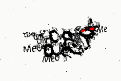 COc1ccc(CN(Cc2ccc(OC)cc2)S(=O)(=O)c2c(S(=O)(=O)CC[Si](C)(C)C)ccc(N3CC[C@H](NC(=O)OC(C)(C)C)[C@H](F)C3)c2-c2nnn(Cc3ccc(OC)cc3)n2)cc1